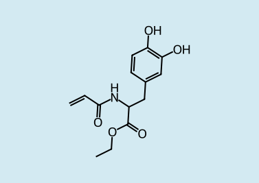 C=CC(=O)NC(Cc1ccc(O)c(O)c1)C(=O)OCC